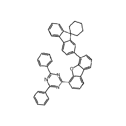 c1ccc(-c2nc(-c3ccccc3)nc(-c3cccc4c3oc3c(-c5ccc6c(c5)C5(CCCCC5)c5ccccc5-6)cccc34)n2)cc1